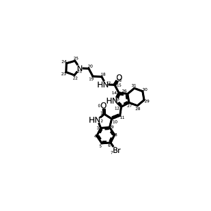 O=C1Nc2ccc(Br)cc2C1=Cc1[nH]c(C(=O)NCCCN2CCCC2)c2c1CCCC2